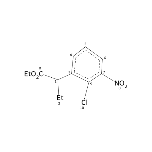 CCOC(=O)C(CC)c1cccc([N+](=O)[O-])c1Cl